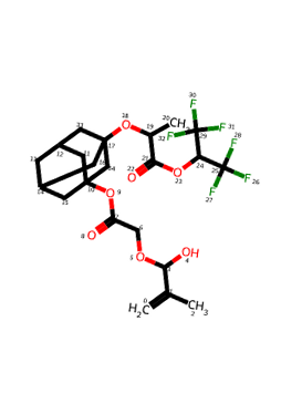 C=C(C)C(O)OCC(=O)OC12CC3CC(C1)CC(OC(C)C(=O)OC(C(F)(F)F)C(F)(F)F)(C3)C2